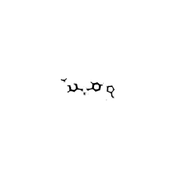 Cc1cc(NC2CCC(C(=O)O)C2)ccc1-c1noc(-c2cnc(OC(C)C)c(Cl)c2)n1